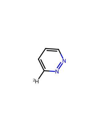 [2H]c1cccnn1